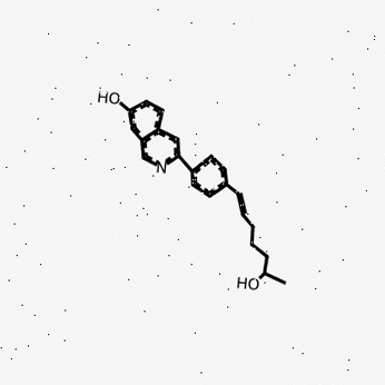 CC(O)CCC/C=C/c1ccc(-c2cc3ccc(O)cc3cn2)cc1